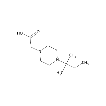 CCC(C)(C)N1CCN(CC(=O)O)CC1